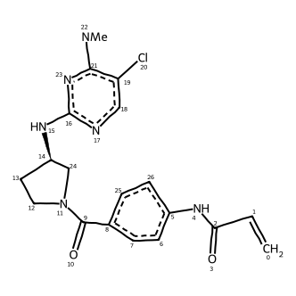 C=CC(=O)Nc1ccc(C(=O)N2CC[C@@H](Nc3ncc(Cl)c(NC)n3)C2)cc1